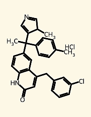 Cc1ccc(C(C)(C2=CN=CC2C)c2ccc3[nH]c(=O)cc(Cc4cccc(Cl)c4)c3c2)cc1.Cl